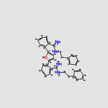 N=C(NCCc1ccccc1)c1ccccc1-c1ccc(-c2ccccc2C(=N)NCCc2ccccc2)o1